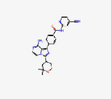 CC1(C)CC(c2nc(C3C=CC(C(=O)Nc4cc(C#N)ccn4)=CC3)c3c(N)nccn23)CCO1